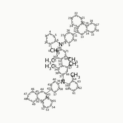 Cc1ccccc1N(c1ccc(-c2cc3ccccc3c3ccccc23)cc1)c1cc(C)c(-c2c(C)cc(N(c3ccc(-c4cc5ccccc5c5ccccc45)cc3)c3ccccc3C)cc2C)c(C)c1